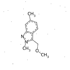 COCc1c2ccc(C)cc2nn1C